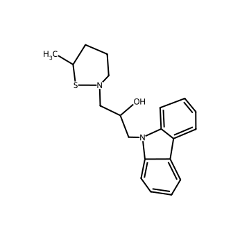 CC1CCCN(CC(O)Cn2c3ccccc3c3ccccc32)S1